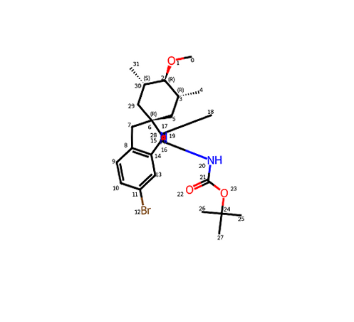 CO[C@H]1[C@H](C)C[C@@]2(Cc3ccc(Br)cc3[C@@]23N=C(C)C(NC(=O)OC(C)(C)C)=N3)C[C@@H]1C